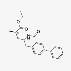 CCOC(=O)[C@H](C)CC(Cc1ccc(-c2ccccc2)cc1)NC=O